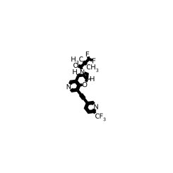 CC(C)(C(=O)N1C[C@@H]2C[C@H]1c1cncc(C#Cc3ccc(C(F)(F)F)nc3)c1O2)C(F)F